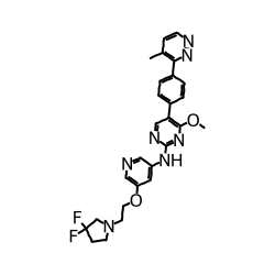 COc1nc(Nc2cncc(OCCN3CCC(F)(F)C3)c2)ncc1-c1ccc(-c2nnccc2C)cc1